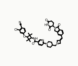 CC1(C)C(NC(=O)c2ccc(N3CCC(CN4CC(=Cc5ccc6c(c5)CN(C5CCC(=O)NC5=O)C6=O)C4)CC3)nc2)C(C)(C)C1Oc1ccc(C#N)c(Cl)c1